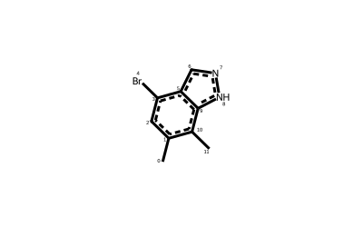 Cc1cc(Br)c2cn[nH]c2c1C